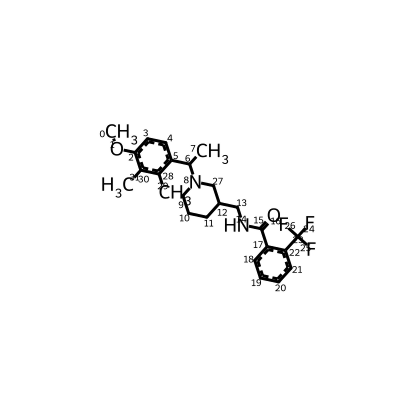 COc1ccc(C(C)N2CCCC(CNC(=O)c3ccccc3C(F)(F)F)C2)c(C)c1C